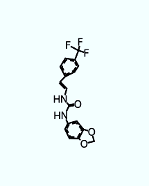 O=C(N/C=C/c1ccc(C(F)(F)F)cc1)Nc1ccc2c(c1)OCO2